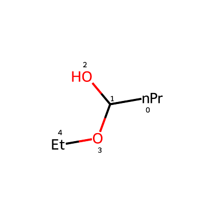 CCCC(O)OCC